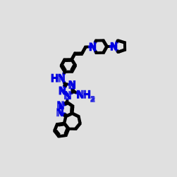 Nc1nc(Nc2ccc(C=CCN3CCC(N4CCCC4)CC3)cc2)nn1-c1cc2c(nn1)-c1ccccc1CCC2